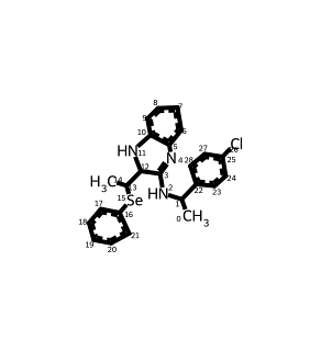 CC(NC1=Nc2ccccc2NC1C(C)[Se]c1ccccc1)c1ccc(Cl)cc1